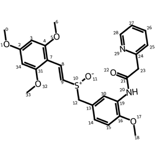 COc1cc(OC)c(C=C[S+]([O-])Cc2ccc(OC)c(NC(=O)Cc3ccccn3)c2)c(OC)c1